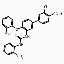 Cc1ccccc1NC(=O)Nc1cc(-c2ccc(C(=O)O)c(Cl)c2)ccc1Oc1ccccc1C(C)(C)C